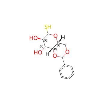 O[C@H]1[C@H]2OC(c3ccccc3)OC[C@H]2OC(S)[C@@H]1O